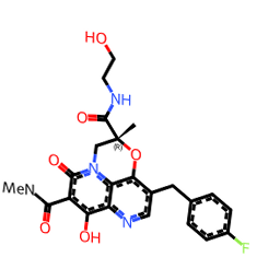 CNC(=O)c1c(O)c2ncc(Cc3ccc(F)cc3)c3c2n(c1=O)C[C@](C)(C(=O)NCCO)O3